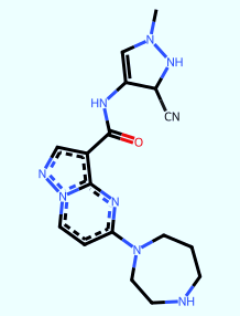 CN1C=C(NC(=O)c2cnn3ccc(N4CCCNCC4)nc23)C(C#N)N1